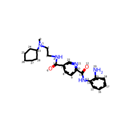 CN(CCNC(=O)c1ccc(C(=O)Nc2ccccc2N)nc1)C1CCCCC1